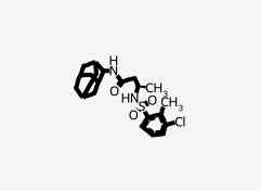 Cc1c(Cl)cccc1S(=O)(=O)N[C@H](C)CC(=O)NC1C2CC3CC(C2)CC1C3